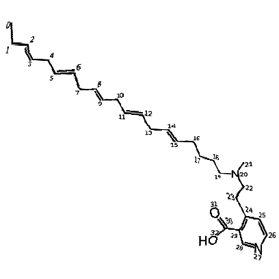 CCC=CCC=CCC=CCC=CCC=CCCCCN(C)CCc1ccncc1C(=O)O